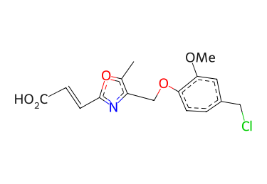 COc1cc(CCl)ccc1OCc1nc(C=CC(=O)O)oc1C